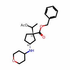 CC(=O)OC(C)[C@]1(C(=O)OCc2ccccc2)CC[C@@H](NC2CCOCC2)C1